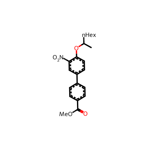 CCCCCCC(C)Oc1ccc(-c2ccc(C(=O)OC)cc2)cc1[N+](=O)[O-]